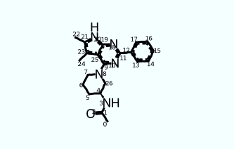 CC(=O)N[C@H]1CCCN(c2nc(-c3ccccc3)nc3[nH]c(C)c(C)c23)C1